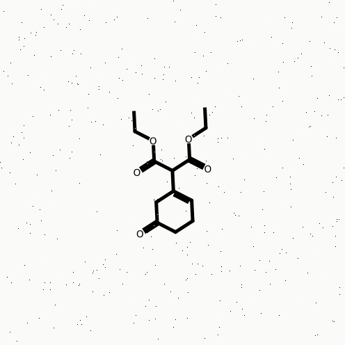 CCOC(=O)C(C(=O)OCC)C1=CCCC(=O)C1